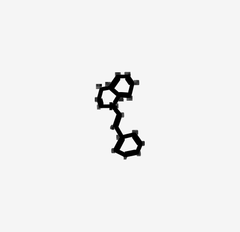 C1=CN(C=Cc2ccccc2)c2ccccc2C1